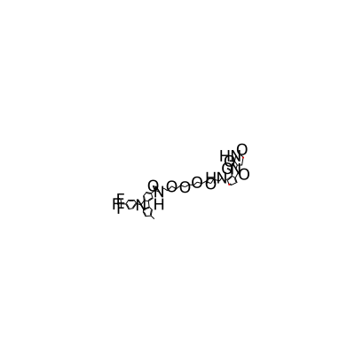 Cc1ccc2c(c1)c1cc(C(=O)NCCOCCOCCOCCOCCNc3cccc4c3C(=O)N(C3CCC(=O)NC3=O)C4=O)ccc1n2-c1ccc(C(F)(F)F)cc1